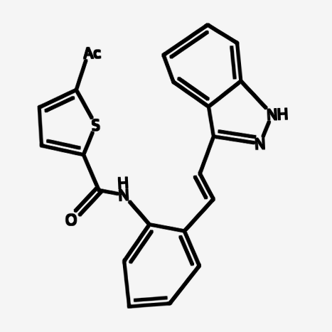 CC(=O)c1ccc(C(=O)Nc2ccccc2/C=C/c2n[nH]c3ccccc23)s1